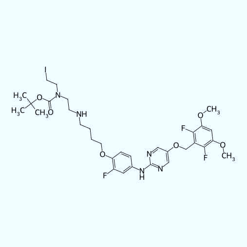 COc1cc(OC)c(F)c(COc2cnc(Nc3ccc(OCCCCNCCN(CCI)C(=O)OC(C)(C)C)c(F)c3)nc2)c1F